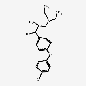 CCN(CC)CC(C)C(O)c1ccc(Oc2ccc(Cl)cc2)cc1